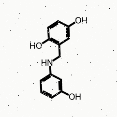 Oc1cccc(NCc2cc(O)ccc2O)c1